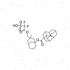 CC1(COC(=O)C(F)(F)S(=O)(=O)O)CC2CCCC(OC(=O)C34CC5C6CC7CC5C(C3)C(C7)C6C4)(C2)C1